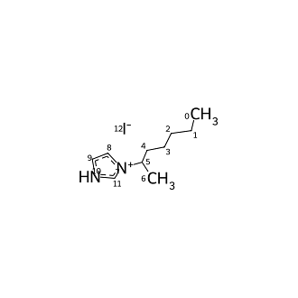 CCCCCC(C)[n+]1cc[nH]c1.[I-]